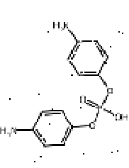 Nc1ccc(OP(=O)(O)Oc2ccc(N)cc2)cc1